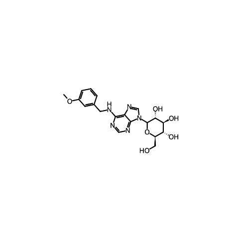 COc1cccc(CNc2ncnc3c2ncn3C2O[C@H](CO)[C@@H](O)[C@H](O)[C@H]2O)c1